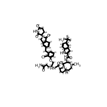 CN1CC[C@H]2CC[C@@H](C(=O)N[C@@H](CCC(N)=O)COc3cccc(Cc4ccc5c(c4)CN(C4CCC(=O)NC4=O)C5=O)c3Cl)N2C(=O)[C@@H](NC(=O)c2cc3cc(C(F)(F)P)ccc3[nH]2)C1